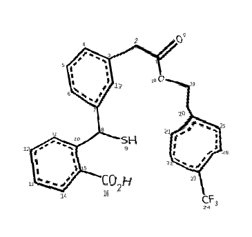 O=C(Cc1cccc(C(S)c2ccccc2C(=O)O)c1)OCc1ccc(C(F)(F)F)cc1